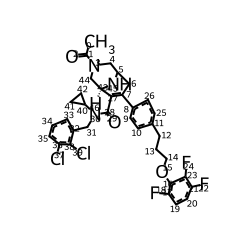 CC(=O)N1CC2CC(c3ccc(CCCOc4c(F)ccc(F)c4F)cc3)=C(C(=O)N(Cc3cccc(Cl)c3Cl)C3CC3)[C@@H](C1)N2